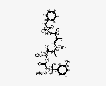 CN[C@H](C(=O)N[C@H](C(=O)N(C)[C@H](C=C(C)C(=O)NS(=O)(=O)Cc1ccccc1)C(C)C)C(C)(C)C)C(C)(C)c1cccc(Br)c1